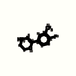 Fc1ccc(C2=NNCCO2)cc1C(F)(F)F